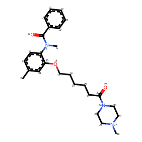 Cc1ccc(N(C)C(=O)c2ccccc2)c(OCCCCCC(=O)N2CCN(C)CC2)c1